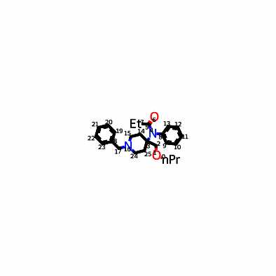 CCCOCC1(N(C(=O)CC)c2ccccc2)CCN(Cc2ccccc2)CC1